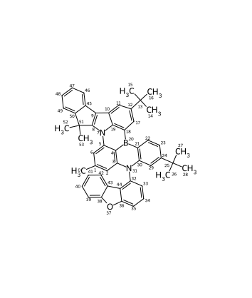 Cc1cc2c3c(c1)-n1c4c(c5cc(C(C)(C)C)cc(c51)B3c1ccc(C(C)(C)C)cc1N2c1cccc2oc3ccccc3c12)-c1ccccc1C4(C)C